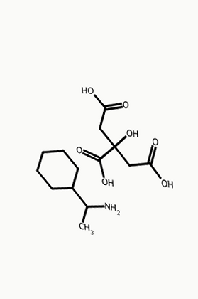 CC(N)C1CCCCC1.O=C(O)CC(O)(CC(=O)O)C(=O)O